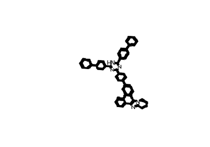 C1=CCCC(c2ccc(C3=NC(c4ccc(-c5ccc6c(c5)c5ccccc5c5nc7ccccn7c65)cc4)=NC(c4ccc(-c5ccccc5)cc4)N3)cc2)=C1